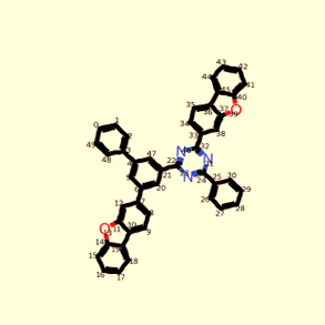 c1ccc(-c2cc(-c3ccc4c(c3)oc3ccccc34)cc(-c3nc(-c4ccccc4)nc(-c4ccc5c(c4)oc4ccccc45)n3)c2)cc1